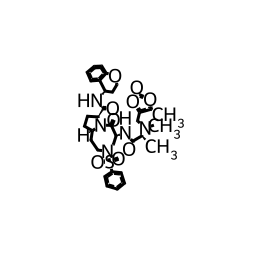 Cc1oc(=O)oc1CN(C)[C@@H](C)C(=O)N[C@H]1CN(S(=O)(=O)c2ccccc2)CC[C@H]2CC[C@@H](C(=O)N[C@@H]3CCOc4ccccc43)N2C1=O